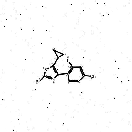 Oc1ccc(-c2nc(Br)sc2C2CC2)c(F)c1